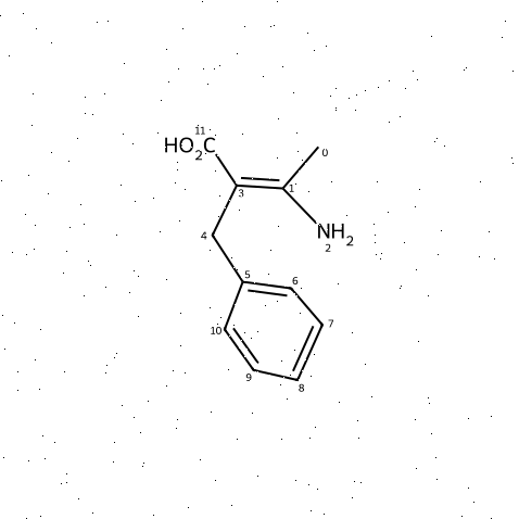 CC(N)=C(Cc1ccccc1)C(=O)O